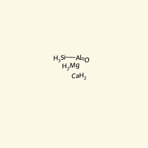 [CaH2].[MgH2].[O]=[Al][SiH3]